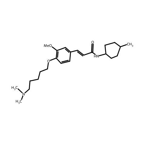 COc1cc(/C=C/C(=O)NC2CCC(C)CC2)ccc1OCCCCCN(C)C